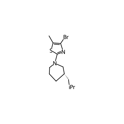 Cc1sc(N2CCC[C@@H](CC(C)C)C2)nc1Br